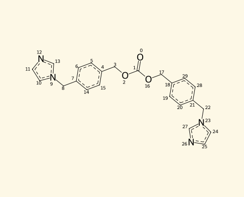 O=C(OCc1ccc(Cn2ccnc2)cc1)OCc1ccc(Cn2ccnc2)cc1